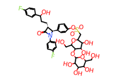 O=C1[C@H](CC[C@H](O)c2ccc(F)cc2)[C@@H](c2ccc(OS(=O)(=O)CC3OC(CO)C(OC4OC(CO)C(O)C(O)C4O)C(O)C3O)cc2)N1c1ccc(F)cc1